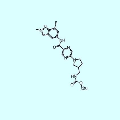 Cn1cc2cc(NC(=O)c3cnc(N4CCC(CNC(=O)OC(C)(C)C)C4)cn3)cc(F)c2n1